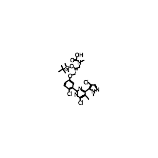 Cc1c(Cl)nc(-c2cc(OC[C@@H](CN(C)C(=O)O)O[Si](C)(C)C(C)(C)C)ccc2Cl)nc1-c1c(Cl)cnn1C